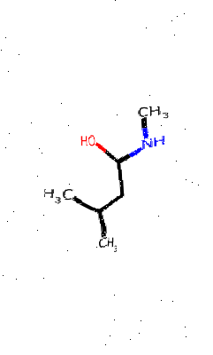 CNC(O)CC(C)C